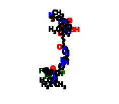 Cc1ncsc1-c1ccc(CNC(=O)[C@@H]2C[C@@H](O)CN2C(=O)[C@@H](NC(=O)CCCCCC(=O)N2CCN(Cc3cnc(N4CC=C(c5cc(NC(=O)c6ccc(F)cc6C(F)(F)F)c(N6C[C@@H](C)N(C)[C@@H](C)C6)cc5F)CC4)nc3)CC2)C(C)(C)C)cc1